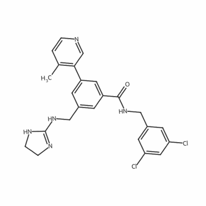 Cc1ccncc1-c1cc(CNC2=NCCN2)cc(C(=O)NCc2cc(Cl)cc(Cl)c2)c1